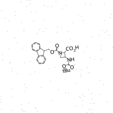 CC(C)(C)OC(=O)NC1CN(C(=O)OCC2c3ccccc3-c3ccccc32)C1C(=O)O